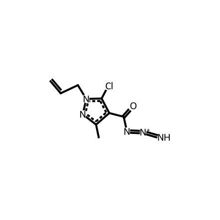 C=CCn1nc(C)c(C(=O)N=[N+]=N)c1Cl